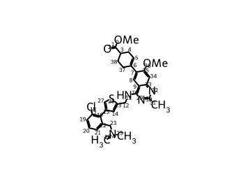 COC(=O)C1CC=C(c2cc3c(NCc4cc(-c5c(Cl)cccc5CN(C)C)cs4)nc(C)nc3cc2OC)CC1